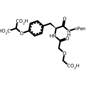 CCCCCNC(=O)[C@H](Cc1ccc(OC(C(=O)O)C(=O)O)cc1)NC(=O)COCC(=O)O